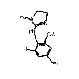 Cc1cc(N)cc(Cl)c1NC1=NCCN1C(C)(C)C